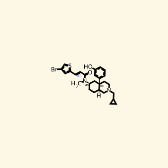 CN(C(=O)/C=C/c1cc(Br)cs1)[C@@H]1CC[C@@H]2CN(CC3CC3)CC[C@@]2(c2cccc(O)c2)C1